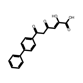 O=C(C=C(O)C(=O)O)CC(=O)c1ccc(-c2ccccc2)cc1